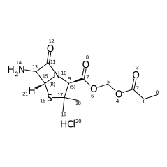 CCC(=O)OCOC(=O)[C@@H]1N2C(=O)C(N)[C@H]2SC1(C)C.Cl